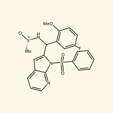 COc1ccc(F)cc1C(N[S@@+]([O-])C(C)(C)C)c1cc2cccnc2n1S(=O)(=O)c1ccccc1